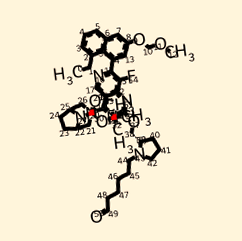 CCc1cccc2cc(OCOC)cc(-c3ncc4c(N5CC6CCC(C5)N6C(=O)OC(C)(C)C)nc(OC[C@@H]5CCCN5CCCCCC=O)nc4c3F)c12